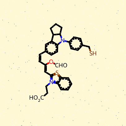 O=COC(/C=C\c1ccc2c(c1)C1CCCC1N2c1ccc(CS)cc1)=C\c1sc2ccccc2[n+]1CCC(=O)O